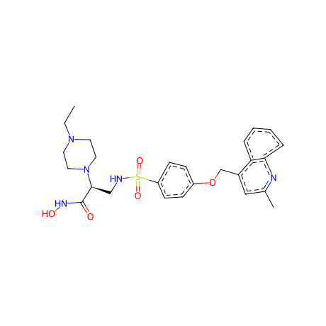 CCN1CCN([C@@H](CNS(=O)(=O)c2ccc(OCc3cc(C)nc4ccccc34)cc2)C(=O)NO)CC1